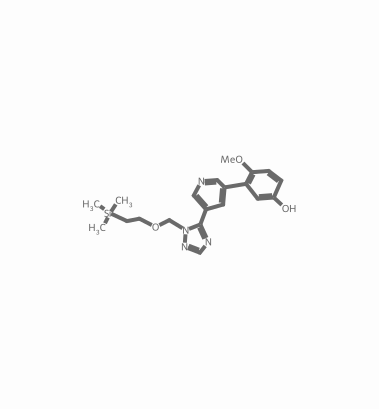 COc1ccc(O)cc1-c1cncc(-c2ncnn2COCC[Si](C)(C)C)c1